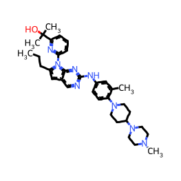 CCCc1cc2cnc(Nc3ccc(N4CCC(N5CCN(C)CC5)CC4)c(C)c3)nc2n1-c1cccc(C(C)(C)O)n1